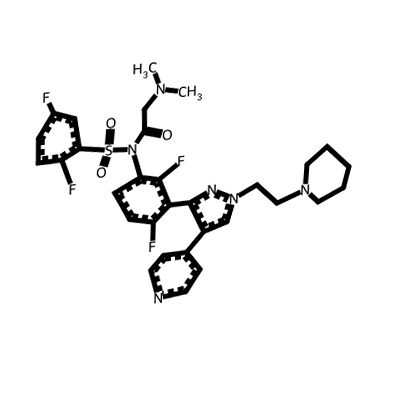 CN(C)CC(=O)N(c1ccc(F)c(-c2nn(CCN3CCCCC3)cc2-c2ccncc2)c1F)S(=O)(=O)c1cc(F)ccc1F